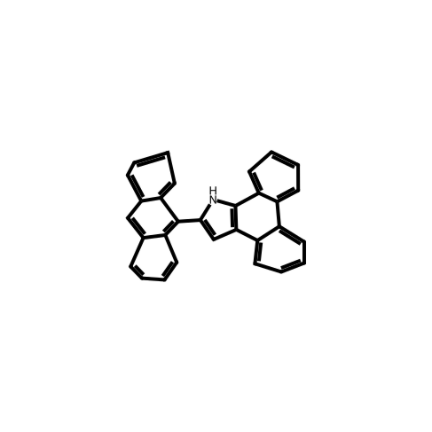 c1ccc2c(-c3cc4c5ccccc5c5ccccc5c4[nH]3)c3ccccc3cc2c1